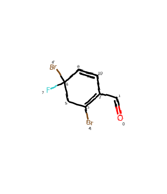 O=CC1=C(Br)CC(F)(Br)C=C1